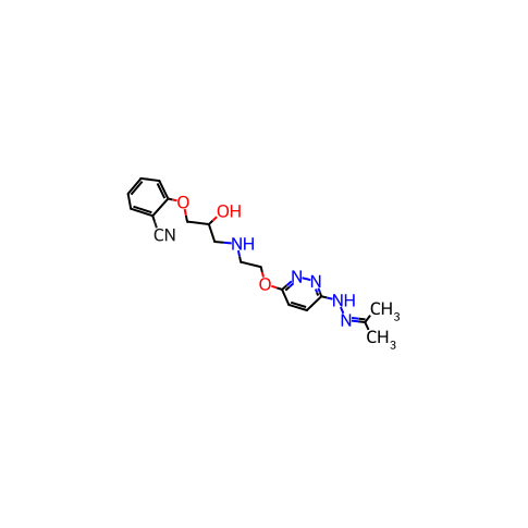 CC(C)=NNc1ccc(OCCNCC(O)COc2ccccc2C#N)nn1